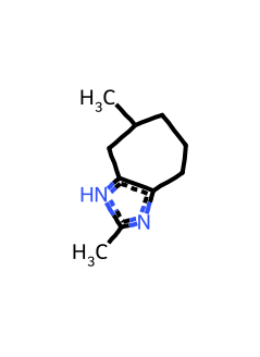 Cc1nc2c([nH]1)CC(C)CCC2